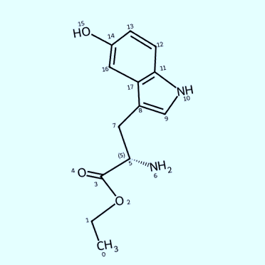 CCOC(=O)[C@@H](N)Cc1c[nH]c2ccc(O)cc12